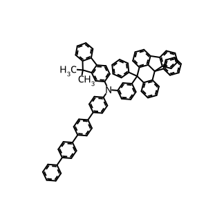 CC1(C)c2ccccc2-c2ccc(N(c3ccc(-c4ccc(-c5ccc(-c6ccccc6)cc5)cc4)cc3)c3cccc(C4(c5ccccc5)c5ccccc5C5(c6ccccc6)c6ccccc6-c6cccc4c65)c3)cc21